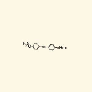 CCCCCCc1ccc(C#Cc2ccc(OC(F)(F)F)cc2)cc1